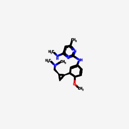 CNc1cc(C)nc(NC2=CC([C@H]3C[C@H]3CN(C)C)C(OC)C=C2)n1